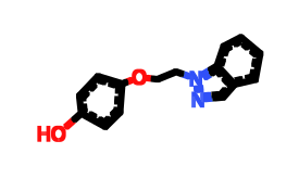 Oc1ccc(OCCn2ncc3ccccc32)cc1